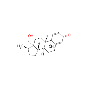 C[C@@H]1CC[C@H]2[C@@H]3CCC4=CC(=O)C=C[C@]4(C)[C@H]3CC[C@]12CO